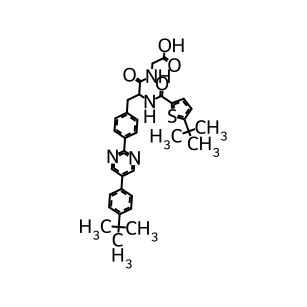 CC(C)(C)c1ccc(-c2cnc(-c3ccc(CC(NC(=O)c4ccc(C(C)(C)C)s4)C(=O)NCC(=O)O)cc3)nc2)cc1